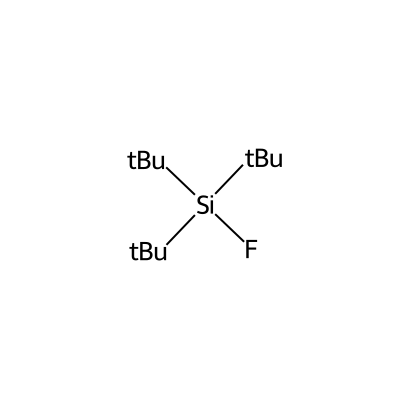 CC(C)(C)[Si](F)(C(C)(C)C)C(C)(C)C